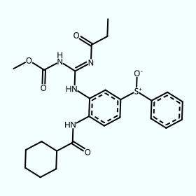 CCC(=O)N=C(NC(=O)OC)Nc1cc([S+]([O-])c2ccccc2)ccc1NC(=O)C1CCCCC1